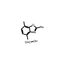 Cc1ccc(C)c2o[c]([Na])nc12.O=CO